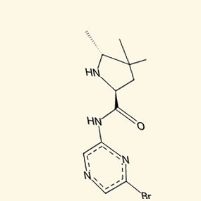 C[C@H]1N[C@H](C(=O)Nc2cncc(Br)n2)CC1(C)C